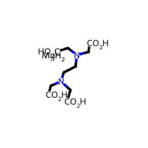 O=C(O)CN(CCN(CC(=O)O)CC(=O)O)CC(=O)O.[MgH2]